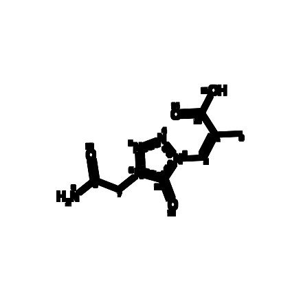 CC(=Cn1nnn(CC(N)=O)c1=O)C(=O)O